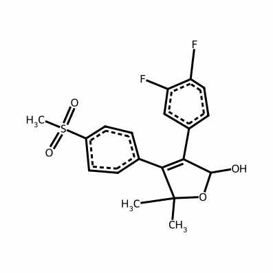 CC1(C)OC(O)C(c2ccc(F)c(F)c2)=C1c1ccc(S(C)(=O)=O)cc1